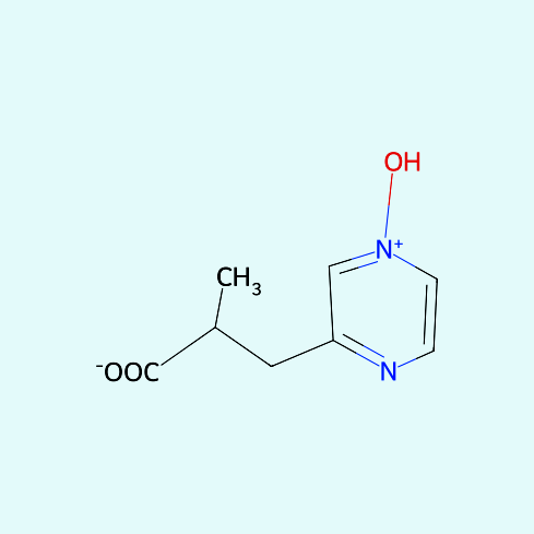 CC(Cc1c[n+](O)ccn1)C(=O)[O-]